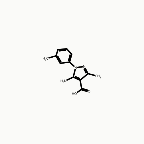 Cc1cccc(-n2nc(C)c(C(=O)O)c2N)c1